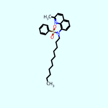 CCCCCCCCCCCN(c1cccc2ccc(C)nc12)S(=O)(=O)c1ccccc1